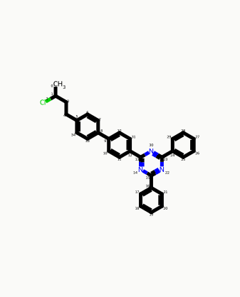 CC(Cl)CCc1ccc(-c2ccc(-c3nc(-c4ccccc4)nc(-c4ccccc4)n3)cc2)cc1